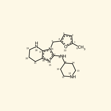 Cc1ccc(Cn2c(NC3CCNCC3)nc3c2NCCC3)o1